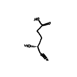 N#C[C@H](O)CCC(=O)O